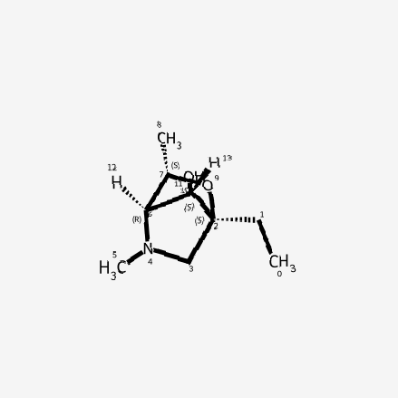 CC[C@@]12CN(C)[C@@H]([C@H](C)O1)[C@@H]2O